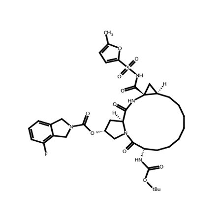 Cc1ccc(S(=O)(=O)NC(=O)[C@@]23C[C@H]2CCCCCCC[C@H](NC(=O)OC(C)(C)C)C(=O)N2C[C@H](OC(=O)N4Cc5cccc(F)c5C4)C[C@H]2C(=O)N3)o1